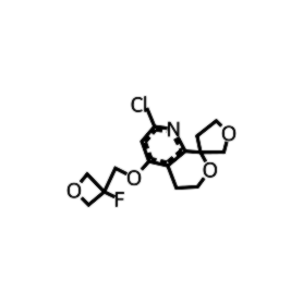 FC1(COc2cc(Cl)nc3c2CCOC32CCOC2)COC1